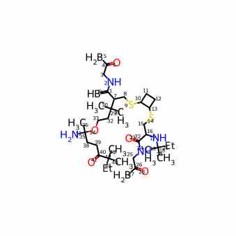 B=C(NCC(B)=O)C(CSC1CCC1SCC(NC(C)(C)CC)C(=O)NCC(B)=O)C(C)(C)CCOC(C)(N)CCC(=O)C(C)(C)CC